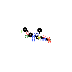 CS(=O)(=O)CCNC(=O)/C=C/S1=C2C(=C(Nc3ccc(OCc4cccc(F)c4)c(Cl)c3)N=CN2Cc2ccccc2)C=C1